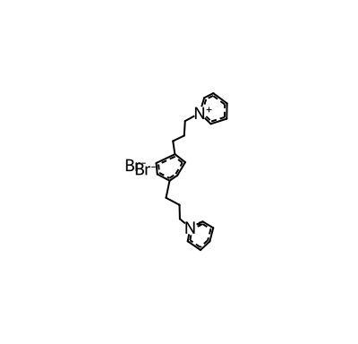 [Br-].[Br-].c1cc[n+](CCCc2ccc(CCC[n+]3ccccc3)cc2)cc1